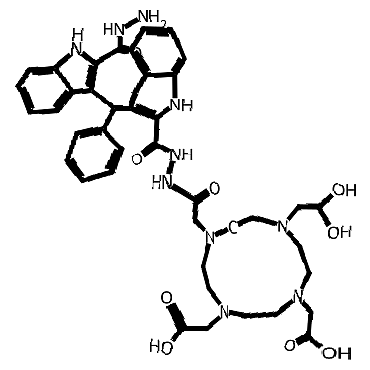 NNC(=O)c1[nH]c2ccccc2c1C(c1ccccc1)c1c(C(=O)NNC(=O)CN2CCN(CC(=O)O)CCN(CC(=O)O)CCN(CC(O)O)CC2)[nH]c2ccccc12